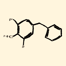 Oc1c(Br)cc(Cc2ccccc2)cc1Br